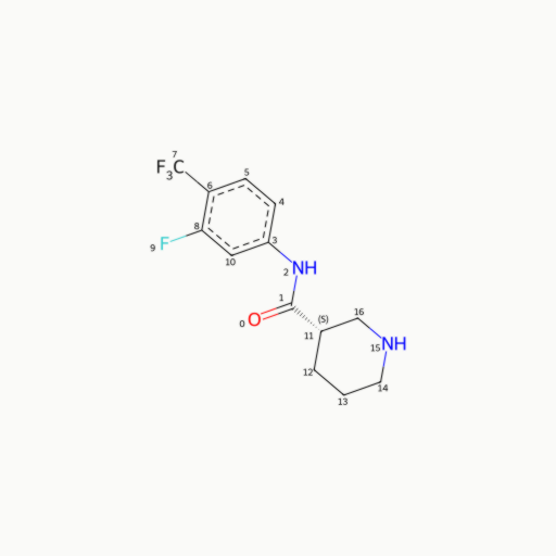 O=C(Nc1ccc(C(F)(F)F)c(F)c1)[C@H]1CCCNC1